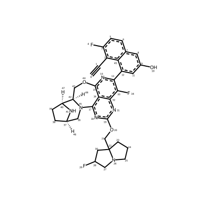 C#Cc1c(F)ccc2cc(O)cc(-c3nc4c5c(nc(OCC67CCCN6CC(F)C7)nc5c3F)N3C[C@H]5CC[C@H](N5)[C@H]3CO4)c12